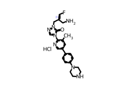 Cc1cc(-c2ccc(N3CCNCC3)cc2)cnc1-n1cnn(C/C(=C/F)CN)c1=O.Cl